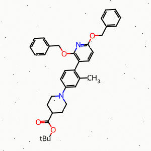 Cc1cc(N2CCC(C(=O)OC(C)(C)C)CC2)ccc1-c1ccc(OCc2ccccc2)nc1OCc1ccccc1